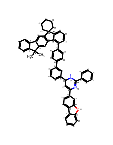 CC1(C)c2ccccc2-c2cc3c(cc21)-c1c(-c2ccc(-c4cccc(C5C=C(c6ccc7c(c6)oc6ccccc67)N=C(c6ccccc6)N5)c4)cc2)cccc1C31CCCCC1